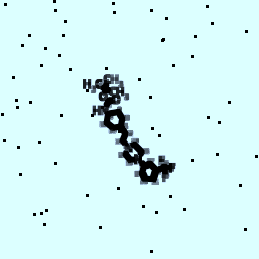 CC(C)(C)OC(=O)NC1CCC(CCN2CCN(c3cccc(C(F)(F)F)c3)CC2)CC1